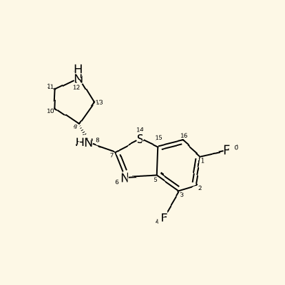 Fc1cc(F)c2nc(N[C@@H]3CCNC3)sc2c1